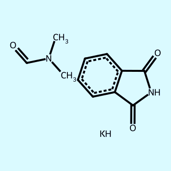 CN(C)C=O.O=C1NC(=O)c2ccccc21.[KH]